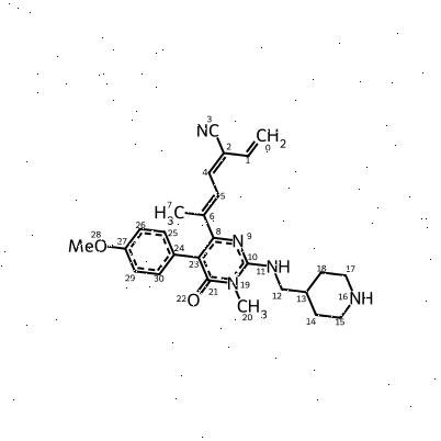 C=C/C(C#N)=C\C=C(/C)c1nc(NCC2CCNCC2)n(C)c(=O)c1-c1ccc(OC)cc1